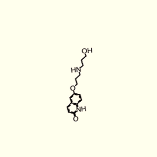 O=c1ccc2cc(OCCCNCCCO)ccc2[nH]1